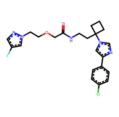 O=C(COCCn1cc(F)cn1)NCCC1(n2cnc(-c3ccc(Cl)cc3)c2)CCC1